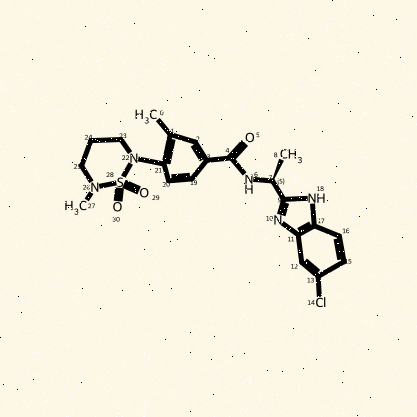 Cc1cc(C(=O)N[C@@H](C)c2nc3cc(Cl)ccc3[nH]2)ccc1N1CCCN(C)S1(=O)=O